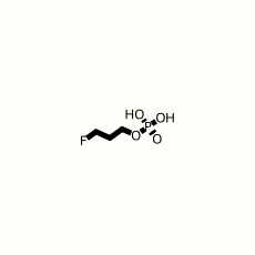 O=P(O)(O)OCCCF